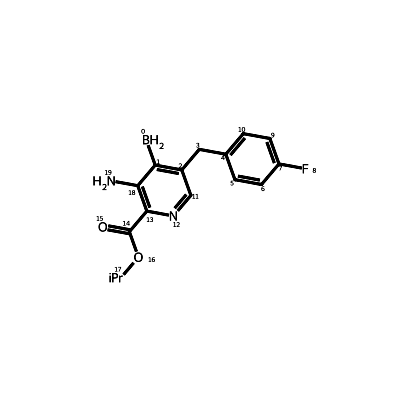 Bc1c(Cc2ccc(F)cc2)cnc(C(=O)OC(C)C)c1N